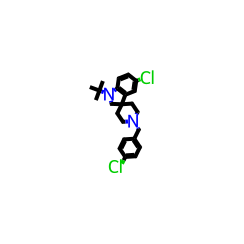 CC(C)(C)N1CC2(CCN(Cc3ccc(Cl)cc3)CC2)c2cc(Cl)ccc21